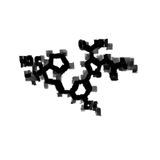 Cc1cc(C=CC[C@@](N)(C(=O)O)C2CCCC2)cc(-c2cc(C(N)=O)c(NC(N)=O)s2)c1